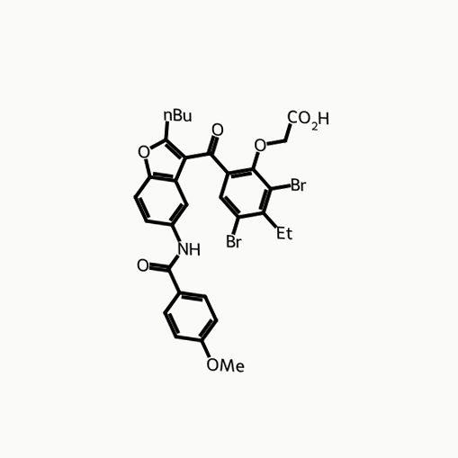 CCCCc1oc2ccc(NC(=O)c3ccc(OC)cc3)cc2c1C(=O)c1cc(Br)c(CC)c(Br)c1OCC(=O)O